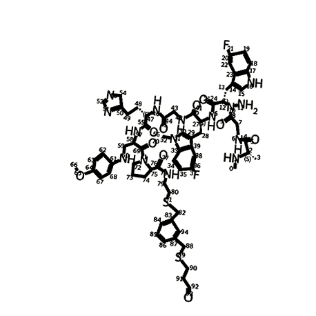 CN[C@@H](C)C(=O)NCC(=O)N(N)[C@@H](Cc1c[nH]c2ccc(F)cc12)C(=O)N[C@@H](Cc1cn(C)c2ccc(F)cc12)C(=O)NCC(=O)N[C@@H](CCC1=NC=NC1)C(=O)NC(CNc1ccc(OC)cc1)C(=O)N1CCCC1C(=O)NCCSCc1cccc(CSCCC=O)c1